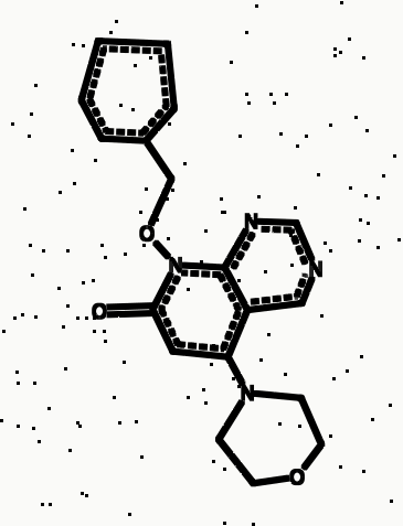 O=c1cc(N2CCOCC2)c2cncnc2n1OCc1ccccc1